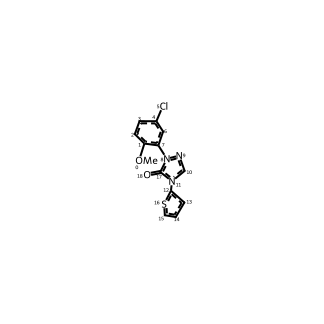 COc1ccc(Cl)cc1-n1ncn(-c2cccs2)c1=O